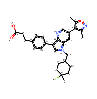 Cc1noc(C)c1-c1cnc2c(-c3ccc(CCC(=O)O)cc3)cn(CC3CCC(C)(F)CC3)c2c1